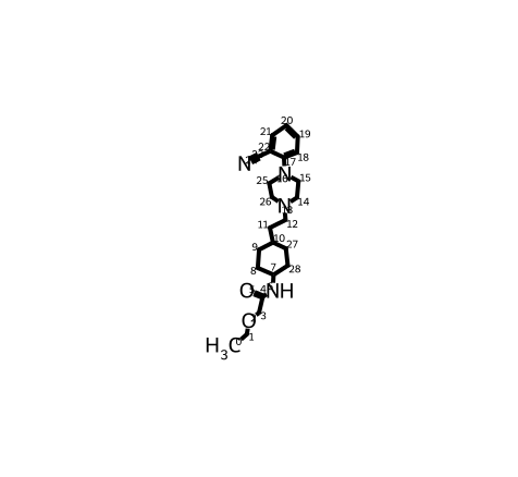 CCOCC(=O)NC1CCC(CCN2CCN(c3ccccc3C#N)CC2)CC1